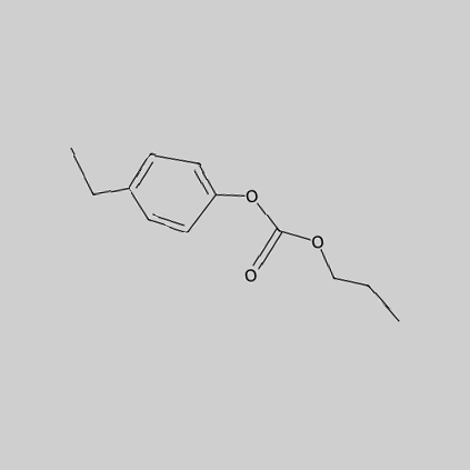 CCCOC(=O)Oc1ccc(CC)cc1